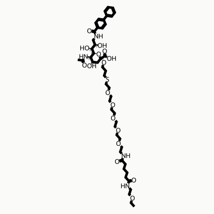 CCOCCNC(=O)CCCCC(=O)NCCOCCOCCOCCOCCOCCSCCCO[C@]1(C(=O)O)C[C@H](O)[C@@H](NC(C)=O)[C@H]([C@H](O)[C@H](O)CNC(=O)c2ccc(-c3ccccc3)cc2)O1